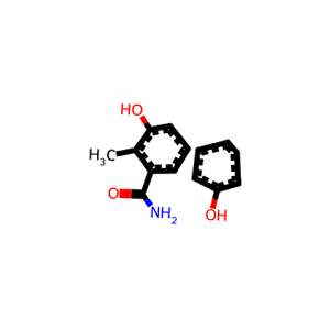 Cc1c(O)cccc1C(N)=O.Oc1ccccc1